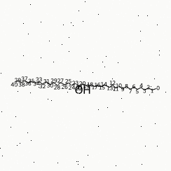 CCCCCCCCCCCCCCCCCCCCCC(O)CCCCCCCCCCCCCCCCCC